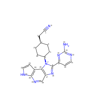 N#CC[C@H]1CC[C@@H](n2c(-c3ccnc(N)n3)nc3cnc4[nH]ccc4c32)CC1